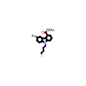 CNC(=O)c1cccc2c1c1cc(C(C)=O)ccc1n2CCCCI